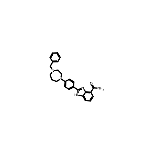 NC(=O)c1cccc2[nH]c(-c3ccc(N4CCCN(Cc5ccccc5)CC4)cc3)nc12